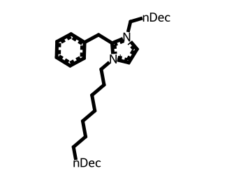 CCCCCCCCCCCCCCCCC[n+]1ccn(CCCCCCCCCCC)c1Cc1ccccc1